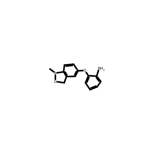 CB1OCc2cc(Oc3ccccc3N)ccc21